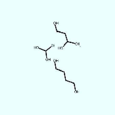 CC(O)CCO.CCC(O)O.OCCCCO